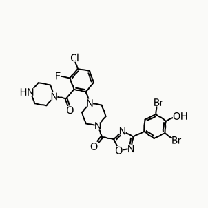 O=C(c1nc(-c2cc(Br)c(O)c(Br)c2)no1)N1CCN(c2ccc(Cl)c(F)c2C(=O)N2CCNCC2)CC1